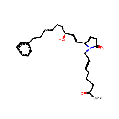 COC(=O)CCCC=CCN1C(=O)CC[C@@H]1C=C[C@@H](O)[C@@H](C)CCCCCc1ccccc1